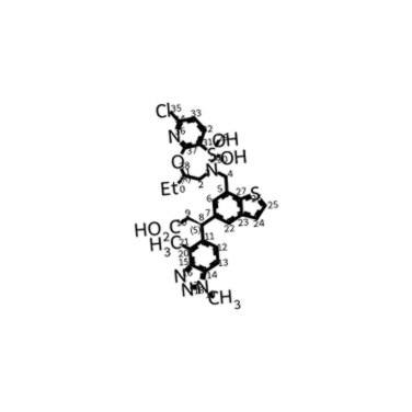 CC[C@@H]1CN(Cc2cc([C@H](CC(=O)O)c3ccc4c(nnn4C)c3C)cc3ccsc23)S(O)(O)c2ccc(Cl)nc2O1